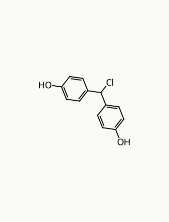 Oc1ccc(C(Cl)c2ccc(O)cc2)cc1